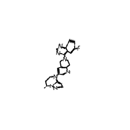 C[C@H]1CCN(c2cnc3c(c2)CN(c2ncnc4ccc(F)cc24)CC3)c2ccnn21